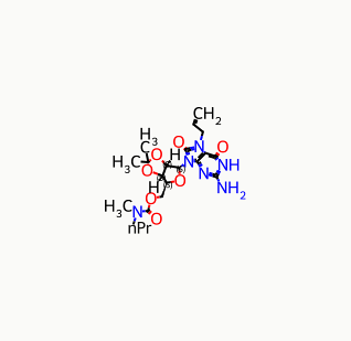 C=CCn1c(=O)n([C@H]2O[C@@H](COC(=O)N(C)CCC)[C@@H]3OC(C)(C)O[C@@H]32)c2nc(N)[nH]c(=O)c21